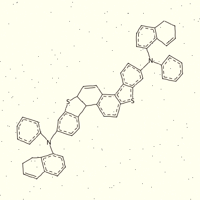 C1=Cc2c(cccc2N(c2ccccc2)c2ccc3c(c2)sc2ccc4c(c23)C=CC2Sc3cc(N(c5ccccc5)c5cccc6c5CCC=C6)ccc3C42)CC1